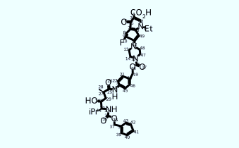 CCn1cc(C(=O)O)c(=O)c2cc(F)c(N3CCN(C(=O)OCc4ccc(NC(=O)[C@H](C)CC(O)[C@@H](NC(=O)OCc5ccccc5)C(C)C)cc4)CC3)cc21